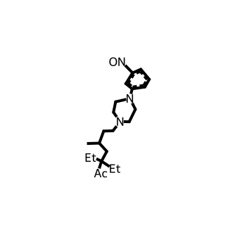 CCC(CC)(CC(C)CCN1CCN(c2cccc(N=O)c2)CC1)C(C)=O